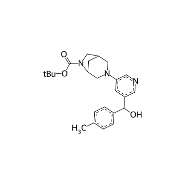 Cc1ccc(C(O)c2cncc(N3CC4CC(C3)N(C(=O)OC(C)(C)C)C4)c2)cc1